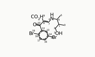 CC(CO)C(C)NC=C(C(=O)O)C(=O)c1cc(Br)ccc1Br